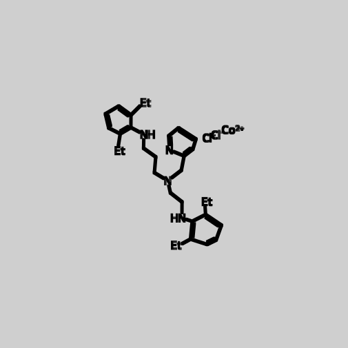 CCc1cccc(CC)c1NCCCN(CCNc1c(CC)cccc1CC)Cc1ccccn1.[Cl-].[Cl-].[Co+2]